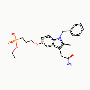 CCOP(=O)(O)CCCOc1ccc2c(c1)c(CC(N)=O)c(C)n2Cc1ccccc1